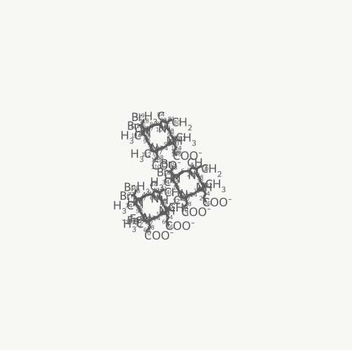 C=CC1=C(C)c2cc3[nH]c(cc4nc(cc5[nH]c(cc1n2)c(C)c5CCC(=O)[O-])C(CCC(=O)[O-])=C4C)c(C)c3C(Br)CBr.C=CC1=C(C)c2cc3[nH]c(cc4nc(cc5[nH]c(cc1n2)c(C)c5CCC(=O)[O-])C(CCC(=O)[O-])=C4C)c(C)c3C(Br)CBr.C=CC1=C(C)c2cc3[nH]c(cc4nc(cc5[nH]c(cc1n2)c(C)c5CCC(=O)[O-])C(CCC(=O)[O-])=C4C)c(C)c3C(Br)CBr.[Fe+3].[Fe+3]